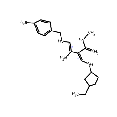 Bc1ccc(CN/C=C(N)/C(=C/NC2CCC(CC)C2)C(=C)NC)cc1